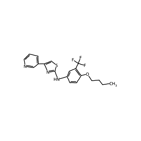 CCCCOc1ccc(Nc2nc(-c3cccnc3)cs2)cc1C(F)(F)F